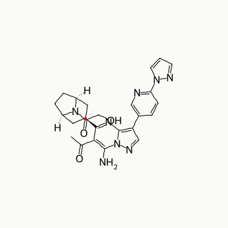 CC(=O)c1c([C@H]2C[C@H]3CC[C@@H](C2)N3C(=O)CO)nc2c(-c3ccc(-n4cccn4)nc3)cnn2c1N